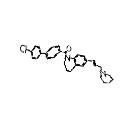 O=C(c1ccc(-c2ccc(Cl)cc2)cc1)N1CCCc2cc(C=CCN3CCCCC3)ccc21